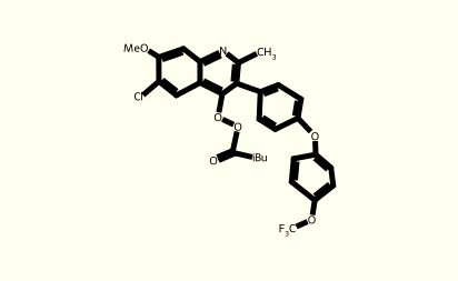 CCC(C)C(=O)OOc1c(-c2ccc(Oc3ccc(OC(F)(F)F)cc3)cc2)c(C)nc2cc(OC)c(Cl)cc12